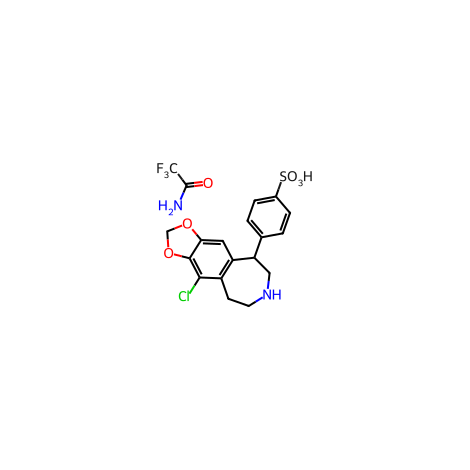 NC(=O)C(F)(F)F.O=S(=O)(O)c1ccc(C2CNCCc3c2cc2c(c3Cl)OCO2)cc1